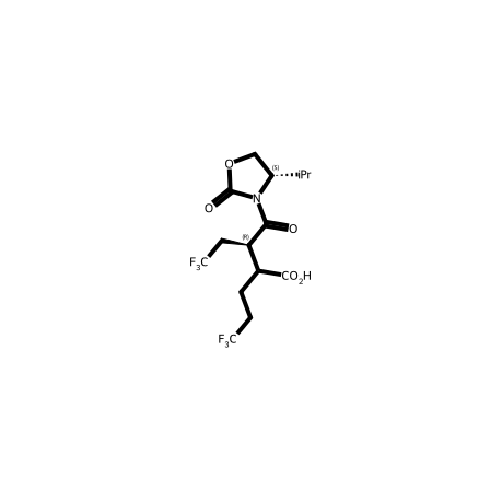 CC(C)[C@H]1COC(=O)N1C(=O)[C@H](CC(F)(F)F)C(CCC(F)(F)F)C(=O)O